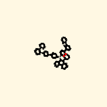 c1ccc(-c2ccccc2-c2ccc(-c3ccc(N(c4ccc(-c5cccc6c5sc5ccccc56)cc4)c4c(-c5ccccc5)c5ccccc5c5ccccc45)cc3)cc2)cc1